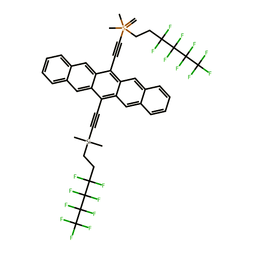 C=S(C)(C)(C#Cc1c2cc3ccccc3cc2c(C#C[Si](C)(C)CCC(F)(F)C(F)(F)C(F)(F)C(F)(F)F)c2cc3ccccc3cc12)CCC(F)(F)C(F)(F)C(F)(F)C(F)(F)F